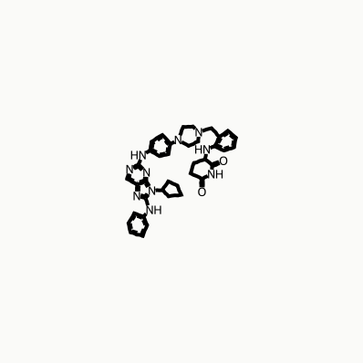 O=C1CCC(Nc2ccccc2CN2CCN(c3ccc(Nc4ncc5nc(Nc6ccccc6)n(C6CCCC6)c5n4)cc3)CC2)C(=O)N1